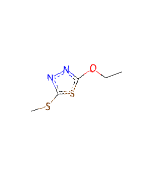 CCOc1nnc(SC)s1